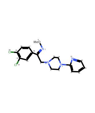 CON=C(CN1CCN(c2ccccn2)CC1)c1ccc(Cl)c(Cl)c1